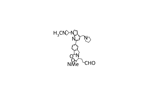 CNC(=O)C(CCC=O)N1Cc2cc(-c3cc(CN4CCCC4)c4ccn(C5CN(C)C5)c4n3)ccc2C1=O